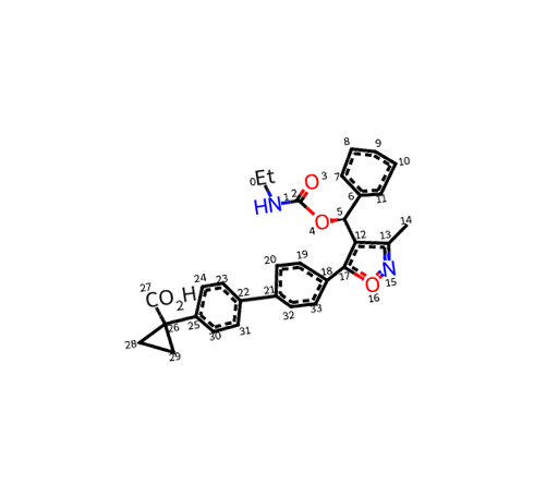 CCNC(=O)O[C@@H](c1ccccc1)c1c(C)noc1-c1ccc(-c2ccc(C3(C(=O)O)CC3)cc2)cc1